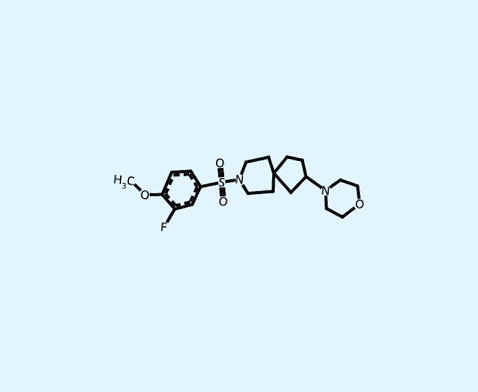 COc1ccc(S(=O)(=O)N2CCC3(CCC(N4CCOCC4)C3)CC2)cc1F